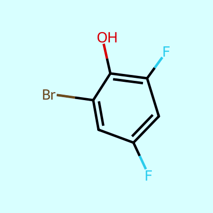 Oc1c(F)cc(F)cc1Br